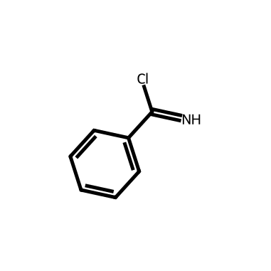 N=C(Cl)c1ccccc1